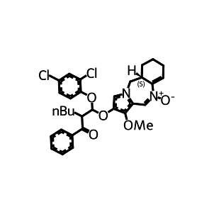 CCCCC(C(=O)c1ccccc1)C(Oc1ccc(Cl)cc1Cl)Oc1cn2c(c1OC)C=[N+]([O-])C1=CCCC[C@H]1C2